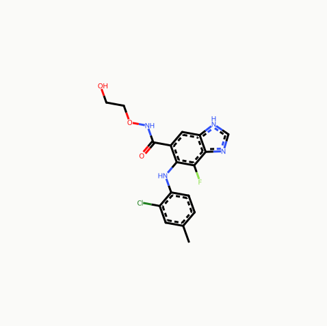 Cc1ccc(Nc2c(C(=O)NOCCO)cc3[nH]cnc3c2F)c(Cl)c1